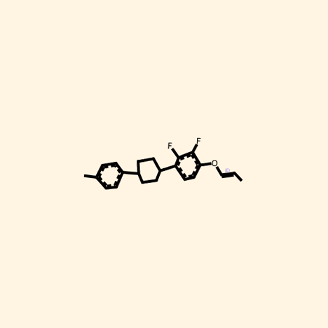 C/C=C/Oc1ccc(C2CCC(c3ccc(C)cc3)CC2)c(F)c1F